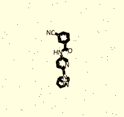 N#Cc1cccc(C(=O)Nc2ccc(N3CCN4CCC3CC4)nc2)c1